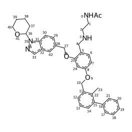 CC(=O)NCCNCc1ccc(OCc2cccc(-c3ccccc3)c2C)cc1OCc1ccc2c(cnn2C2CCCCO2)c1